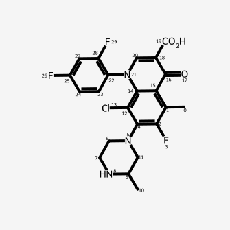 Cc1c(F)c(N2CCNC(C)C2)c(Cl)c2c1c(=O)c(C(=O)O)cn2-c1ccc(F)cc1F